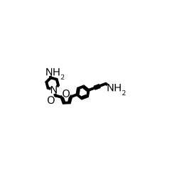 NCC#Cc1ccc(-c2ccc(C(=O)N3CCC(N)CC3)o2)cc1